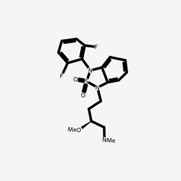 CNC[C@H](CCN1c2ccccc2N(c2c(F)cccc2F)S1(=O)=O)OC